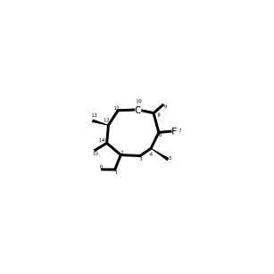 CCC1C[C@H](C)C(F)C(C)CC[C@H](C)C1C